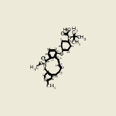 CON1Cc2cnc(C)cc2CC/C=C/Cc2c(OC3CCC(N(C(=O)O)C(C)(C)C)CC3)cccc2C1=O